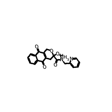 COC1(C(=O)NCc2ccccn2)CC2=C(CO1)C(=O)c1ccccc1C2=O